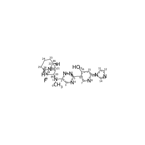 CN(c1cnc(-c2cnc(-n3ccnc3)cc2O)nn1)[C@@H]1C[C@H]2CCC[C@H](N2)[C@H]1F